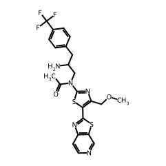 COCc1nc(N(CC(N)Cc2ccc(C(F)(F)F)cc2)C(C)=O)sc1-c1nc2ccncc2s1